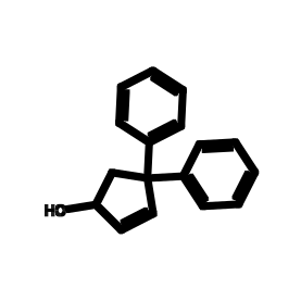 OC1C=CC(c2ccccc2)(c2ccccc2)C1